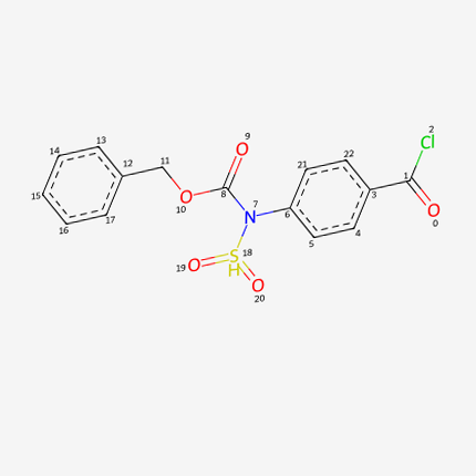 O=C(Cl)c1ccc(N(C(=O)OCc2ccccc2)[SH](=O)=O)cc1